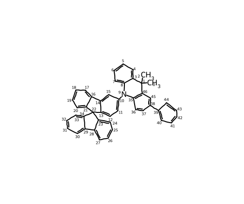 CC1(C)c2ccccc2N(c2ccc3c(c2)-c2ccccc2C32c3ccccc3-c3ccccc32)c2ccc(-c3ccccc3)cc21